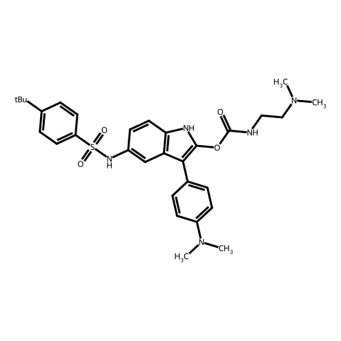 CN(C)CCNC(=O)Oc1[nH]c2ccc(NS(=O)(=O)c3ccc(C(C)(C)C)cc3)cc2c1-c1ccc(N(C)C)cc1